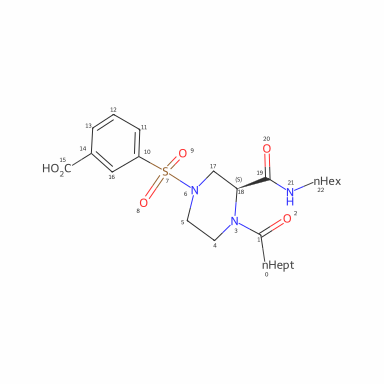 CCCCCCCC(=O)N1CCN(S(=O)(=O)c2cccc(C(=O)O)c2)C[C@H]1C(=O)NCCCCCC